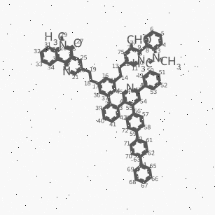 CN(C)c1ccccc1-c1ncc(CCc2cc(CCc3cnc4c(c3)c(=O)n(C)c3ccccc43)cc(-c3ccccc3-c3cnc(-c4ccccc4)cc3-c3ccc(-c4ccc(-c5ccccc5)cc4)cc3)c2)cc1C=O